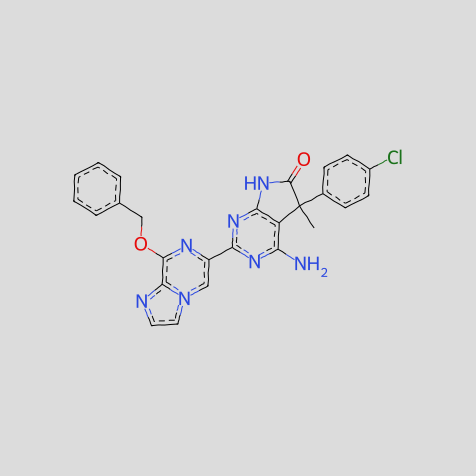 CC1(c2ccc(Cl)cc2)C(=O)Nc2nc(-c3cn4ccnc4c(OCc4ccccc4)n3)nc(N)c21